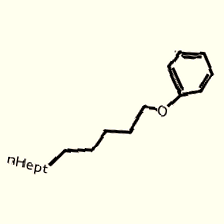 CCCCCCCCCCCCOc1c[c]ccc1